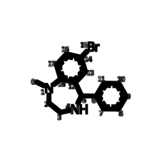 CN1CCNC(c2ccccc2)c2cc(Br)ccc21